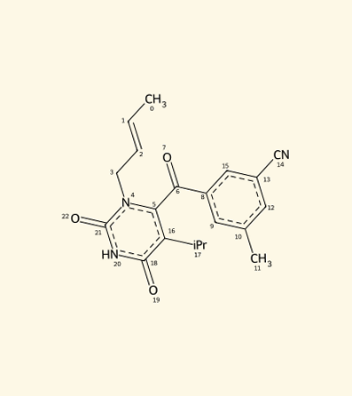 CC=CCn1c(C(=O)c2cc(C)cc(C#N)c2)c(C(C)C)c(=O)[nH]c1=O